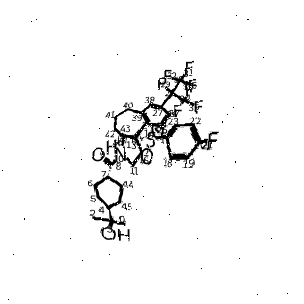 CC(C)(O)[C@H]1CC[C@H](C(=O)N2CC[C@]3(S(=O)(=O)c4ccc(F)cc4)c4ccc(C(F)(C(F)(F)F)C(F)(F)F)cc4CCC[C@H]23)CC1